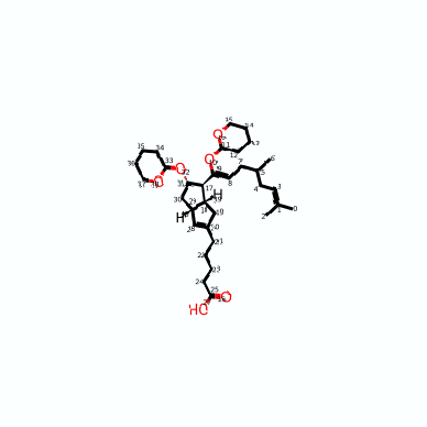 CC(C)=CCC(C)CC=C(OC1CCCCO1)[C@H]1[C@@H]2CC(CCCCC(=O)O)=C[C@@H]2C[C@@H]1OC1CCCCO1